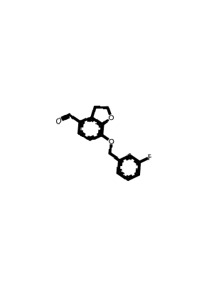 O=Cc1ccc(OCc2cccc(F)c2)c2c1CCO2